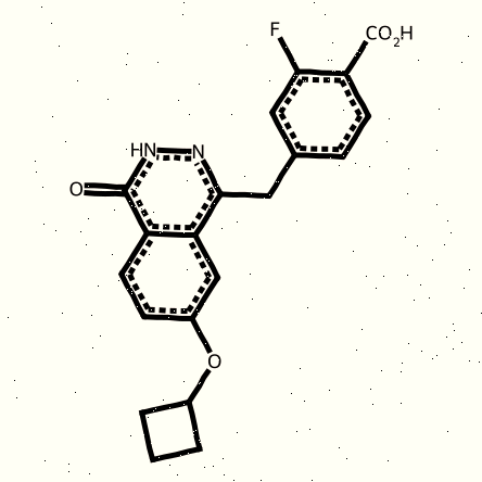 O=C(O)c1ccc(Cc2n[nH]c(=O)c3ccc(OC4CCC4)cc23)cc1F